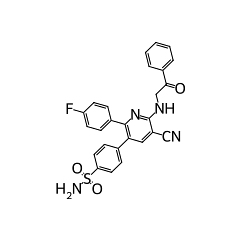 N#Cc1cc(-c2ccc(S(N)(=O)=O)cc2)c(-c2ccc(F)cc2)nc1NCC(=O)c1ccccc1